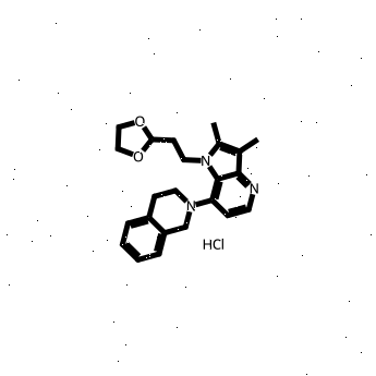 Cc1c(C)n(CCC2OCCO2)c2c(N3CCc4ccccc4C3)ccnc12.Cl